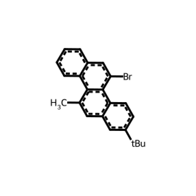 Cc1cc2cc(C(C)(C)C)ccc2c2c(Br)cc3ccccc3c12